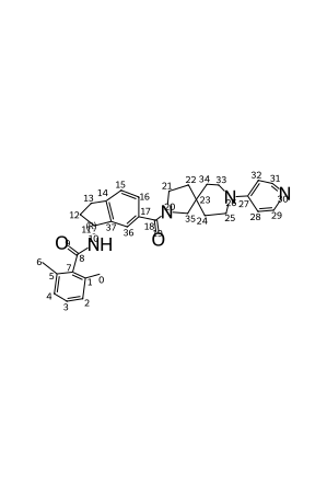 Cc1cccc(C)c1C(=O)N[C@@H]1CCc2ccc(C(=O)N3CCC4(CCN(c5ccncc5)CC4)C3)cc21